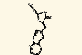 CCSC1=N/C(=C\c2ccc3ncccc3c2)C(=O)N1